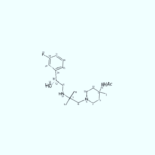 CC(=O)NC1(C)CCN(CC(C)(C)NC[C@H](O)c2cccc(F)c2)CC1